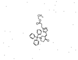 CCOC(=O)CCn1cc(/C=C2\CN(C(c3ccccc3)(c3ccccc3)c3ccccc3)CCC2=O)cn1